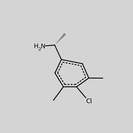 Cc1cc([C@@H](C)N)cc(C)c1Cl